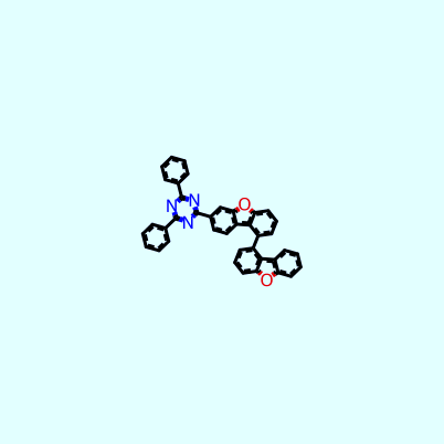 c1ccc(-c2nc(-c3ccccc3)nc(-c3ccc4c(c3)oc3cccc(-c5cccc6oc7ccccc7c56)c34)n2)cc1